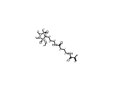 C=C(C)C(=O)NCCCC(=O)NCCCC(P(C)(=O)OC)P(=O)(OC)OC